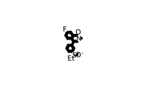 CC[S+]([O-])c1cccc(-c2cn(C)c(=O)c3cc(F)ccc23)c1